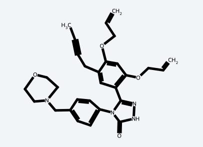 C=CCOc1cc(OCC=C)c(-c2n[nH]c(=O)n2-c2ccc(CN3CCOCC3)cc2)cc1CC#CC